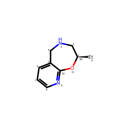 CC[C@@H]1CNCc2cccnc2O1